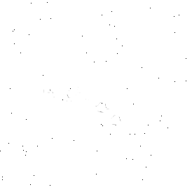 CC(C)(CCCOc1ccc(Cc2ccccc2)cc1)OC(=O)C1CCNCC1